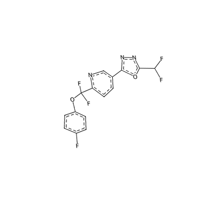 Fc1ccc(OC(F)(F)c2ccc(-c3nnc(C(F)F)o3)cn2)cc1